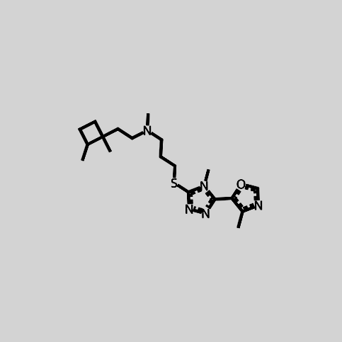 Cc1ncoc1-c1nnc(SCCCN(C)CCC2(C)CCC2C)n1C